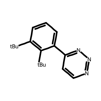 CC(C)(C)c1cccc(-c2ccnnn2)c1C(C)(C)C